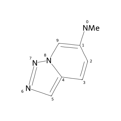 CNc1ccc2cnnn2c1